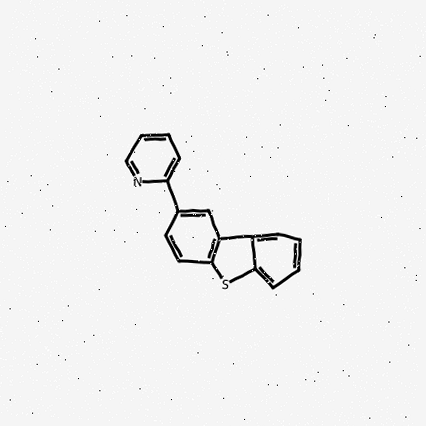 [c]1c(-c2ccccn2)ccc2sc3ccccc3c12